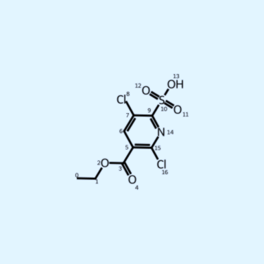 CCOC(=O)c1cc(Cl)c(S(=O)(=O)O)nc1Cl